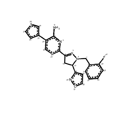 Nc1nc(C2=NN(Cc3ccccc3F)C(c3ccon3)C2)ncc1-c1ccsc1